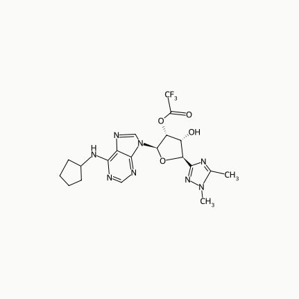 Cc1nc([C@H]2O[C@@H](n3cnc4c(NC5CCCC5)ncnc43)[C@H](OC(=O)C(F)(F)F)[C@@H]2O)nn1C